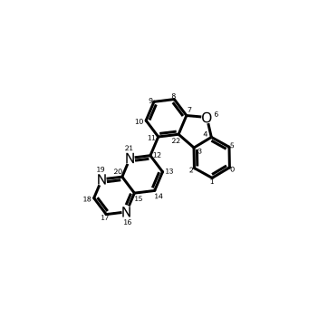 c1ccc2c(c1)oc1cccc(-c3ccc4nccnc4n3)c12